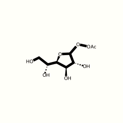 CC(=O)OOC1O[C@H]([C@H](O)CO)[C@H](O)[C@H]1O